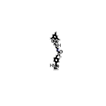 Cc1cc(C)c(S(=O)(=O)CNC/C=C/C(=O)N(C)Cc2ccc(C3=NCCN3)cc2)c(C)c1